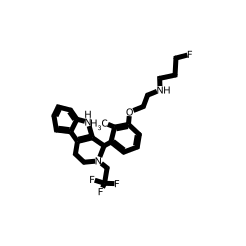 Cc1c(OCCNCCCF)cccc1C1c2[nH]c3ccccc3c2CCN1CC(F)(F)F